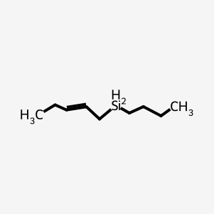 CCC=CC[SiH2]CCCC